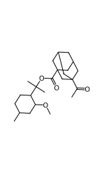 COC1CC(C)CCC1C(C)(C)OC(=O)C12CC3CC(CC(C(C)=O)(C3)C1)C2